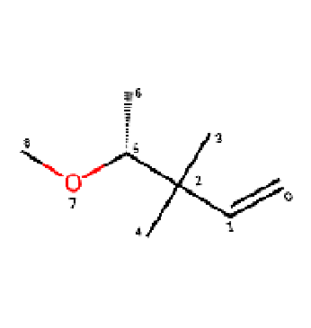 C=CC(C)(C)[C@@H](C)OC